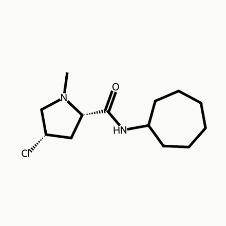 CN1C[C@@H](Cl)C[C@H]1C(=O)NC1CCCCCC1